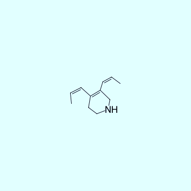 C/C=C\C1=C(/C=C\C)CNCC1